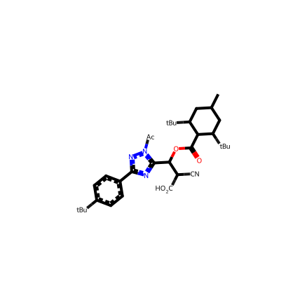 CC(=O)n1nc(-c2ccc(C(C)(C)C)cc2)nc1C(OC(=O)C1C(C(C)(C)C)CC(C)CC1C(C)(C)C)C(C#N)C(=O)O